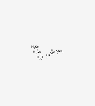 O.[Cu].[GaH3].[SbH3].[SeH2].[SeH2]